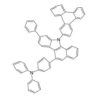 c1ccc(-c2ccc3c4c(-c5ccc(N(c6ccccc6)c6ccccc6)cc5)cc5ccccc5c4n(-c4ccc5c6ccccc6c6ccccc6c5c4)c3c2)cc1